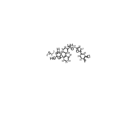 CSCC[C@H](NC(=O)c1ccc(COCc2ccc(-c3ccc(F)c(Cl)c3)o2)cc1-c1ccccc1C)C(=O)O.[LiH]